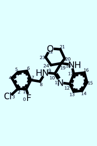 Fc1c(Cl)cccc1CNC1=Nc2ccccc2NC12CCOCC2